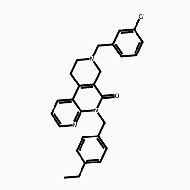 CCc1ccc(Cn2c(=O)c3c(c4cccnc42)CCN(Cc2cccc(Cl)c2)C3)cc1